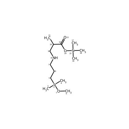 CO[Si](C)(C)CCCNCC(C)C(=O)O[Si](C)(C)C